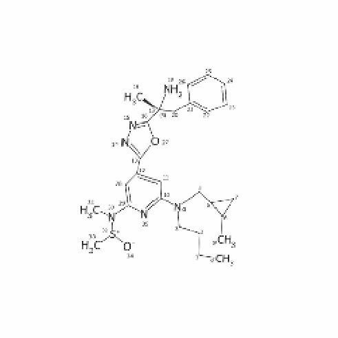 CCCCN(CC1CC1C)c1cc(-c2nnc([C@](C)(N)Cc3ccccc3)o2)cc(N(C)[S+](C)[O-])n1